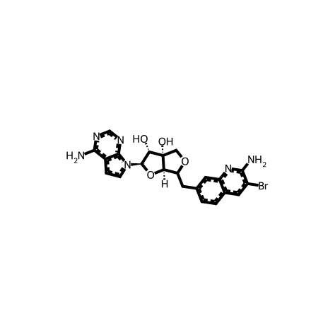 Nc1nc2cc(CC3OC[C@@]4(O)[C@@H]3O[C@@H](n3ccc5c(N)ncnc53)[C@@H]4O)ccc2cc1Br